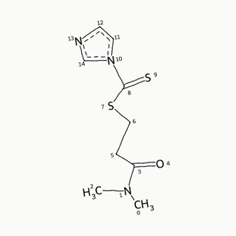 CN(C)C(=O)CCSC(=S)n1ccnc1